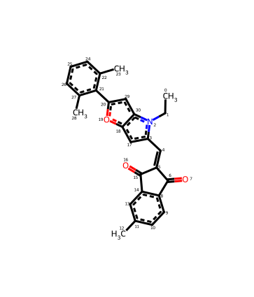 CCn1c(/C=C2/C(=O)c3ccc(C)cc3C2=O)cc2oc(-c3c(C)cccc3C)cc21